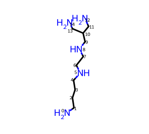 NCCCCNCCNCC(CN)CN